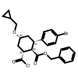 O=C(OCc1ccccc1)[C@@H]1[C@@H](c2ccc(Br)cc2)C[C@@H](OCC2CC2)C[C@H]1C(=O)Cl